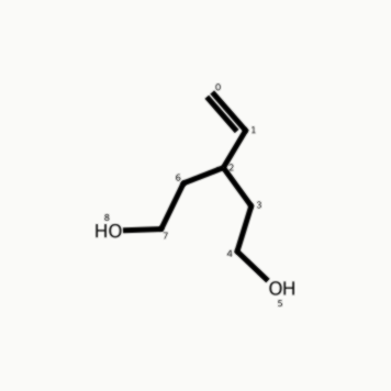 C=C[C](CCO)CCO